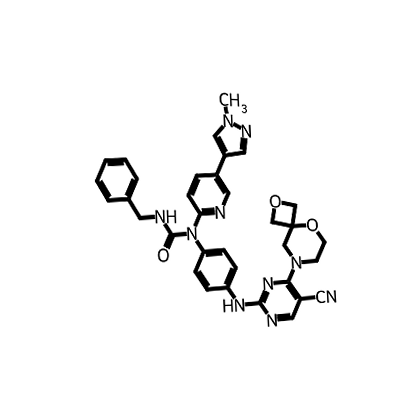 Cn1cc(-c2ccc(N(C(=O)NCc3ccccc3)c3ccc(Nc4ncc(C#N)c(N5CCOC6(COC6)C5)n4)cc3)nc2)cn1